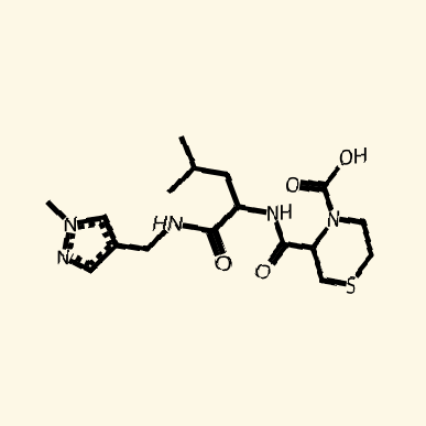 CC(C)CC(NC(=O)C1CSCCN1C(=O)O)C(=O)NCc1cnn(C)c1